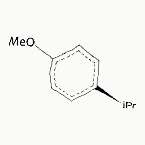 [CH2][C@H](C)c1ccc(OC)cc1